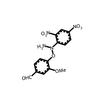 COc1cc(C=O)ccc1ON(N)c1ccc([N+](=O)[O-])cc1[N+](=O)[O-]